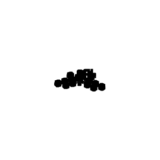 C=Cc1oc2cc(-c3c4ccccc4c(-c4ccc(-c5ccccc5)c5ccccc45)c4ccccc34)ccc2c1/C=C(\C)c1c2ccccc2c(-c2ccc(-c3ccccc3)c3ccccc23)c2ccccc12